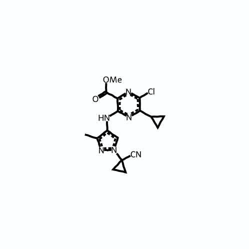 COC(=O)c1nc(Cl)c(C2CC2)nc1Nc1cn(C2(C#N)CC2)nc1C